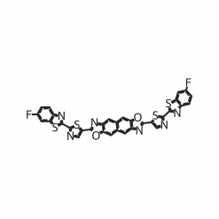 Fc1ccc2nc(-c3ncc(-c4nc5cc6cc7oc(-c8cnc(-c9nc%10ccc(F)cc%10s9)s8)nc7cc6cc5o4)s3)sc2c1